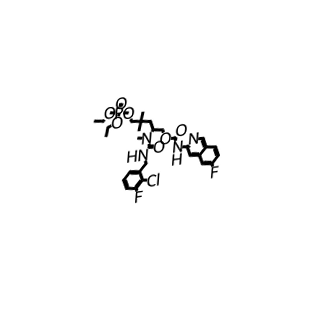 CCOP(=O)(OCC)OCC(C)(C)CC(COC(=O)Nc1cc2cc(F)ccc2cn1)N(C)C(=O)NCc1cccc(F)c1Cl